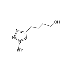 CCCn1cc(CCCCO)nn1